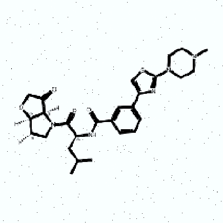 CC(C)C[C@H](NC(=O)c1cccc(-c2csc(N3CCN(C)CC3)n2)c1)C(=O)N1C[C@H](F)[C@H]2OCC(=O)[C@H]21